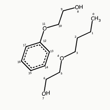 CCCCOCCO.OCCOc1ccccc1